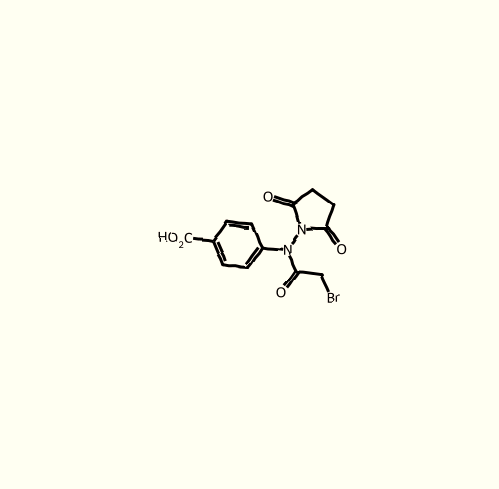 O=C(O)c1ccc(N(C(=O)CBr)N2C(=O)CCC2=O)cc1